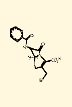 O=C(O)C1=C(CBr)CS[C@H]2C(NC(=O)c3ccccc3)C(=O)N12